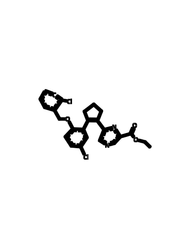 CCOC(=O)c1cncc(C2=C(c3cc(Cl)ccc3OCc3ccccc3Cl)CCC2)n1